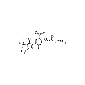 CCOC(=O)COc1cc(F)c(-c2nn(C)c(C(F)(F)F)c2Cl)cc1[N+](=O)[O-]